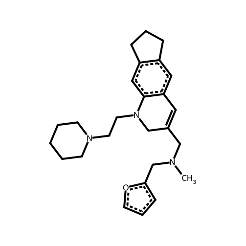 CN(CC1=Cc2cc3c(cc2N(CCN2CCCCC2)C1)CCC3)Cc1ccco1